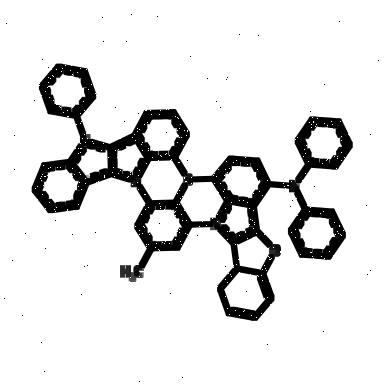 Cc1cc2c3c(c1)-n1c4c(cccc4c4c1c1ccccc1n4-c1ccccc1)B3c1ccc(N(c3ccccc3)c3ccccc3)c3c4c(n-2c13)C1CC=CC=C1O4